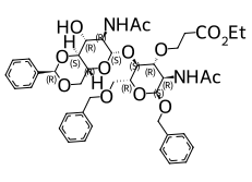 CCOC(=O)CCO[C@@H]1[C@@H](NC(C)=O)[C@@H](OCc2ccccc2)O[C@H](COCc2ccccc2)[C@H]1O[C@@H]1O[C@@H]2CO[C@@H](c3ccccc3)O[C@H]2[C@H](O)[C@H]1NC(C)=O